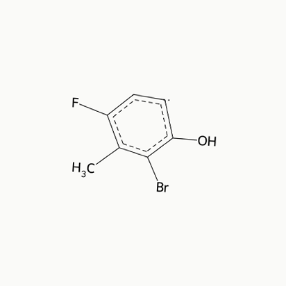 Cc1c(F)c[c]c(O)c1Br